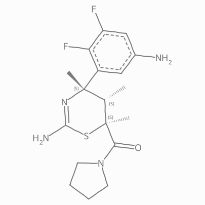 C[C@@H]1[C@@](C)(C(=O)N2CCCC2)SC(N)=N[C@]1(C)c1cc(N)cc(F)c1F